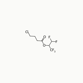 O=C(CCCCl)OC(C(F)F)C(F)(F)F